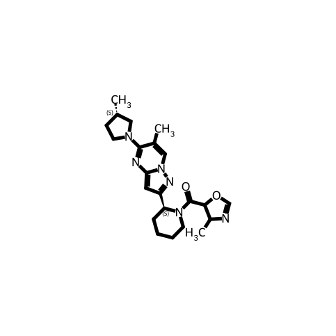 Cc1cn2nc([C@@H]3CCCCN3C(=O)C3OC=NC3C)cc2nc1N1CC[C@H](C)C1